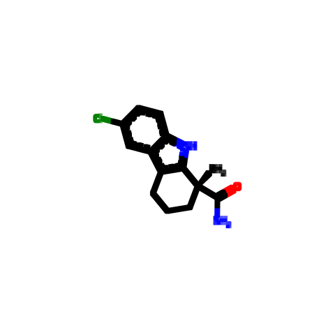 B[C@@]1(C(N)=O)CCCc2c1[nH]c1ccc(Cl)cc21